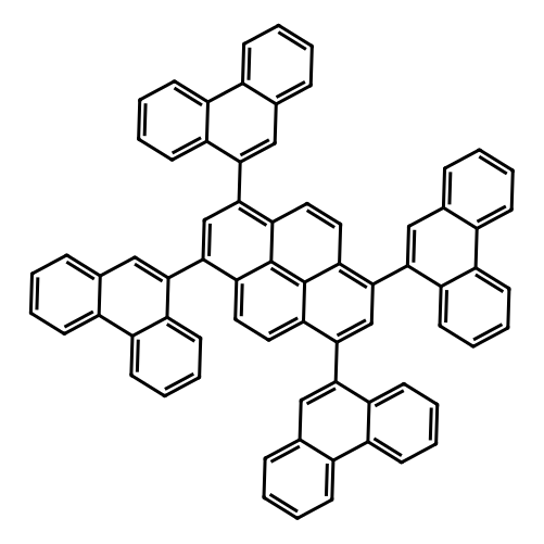 c1ccc2c(c1)cc(-c1cc(-c3cc4ccccc4c4ccccc34)c3ccc4c(-c5cc6ccccc6c6ccccc56)cc(-c5cc6ccccc6c6ccccc56)c5ccc1c3c54)c1ccccc12